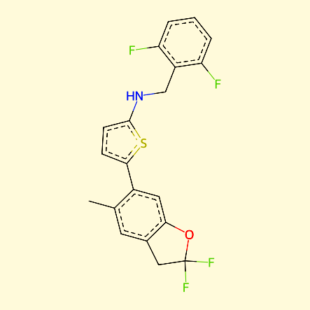 Cc1cc2c(cc1-c1ccc(NCc3c(F)cccc3F)s1)OC(F)(F)C2